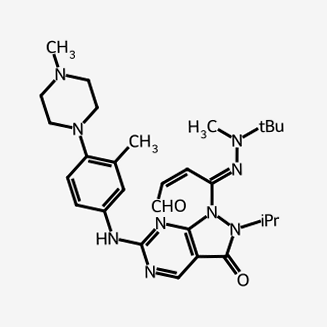 Cc1cc(Nc2ncc3c(=O)n(C(C)C)n(C(/C=C\C=O)=N/N(C)C(C)(C)C)c3n2)ccc1N1CCN(C)CC1